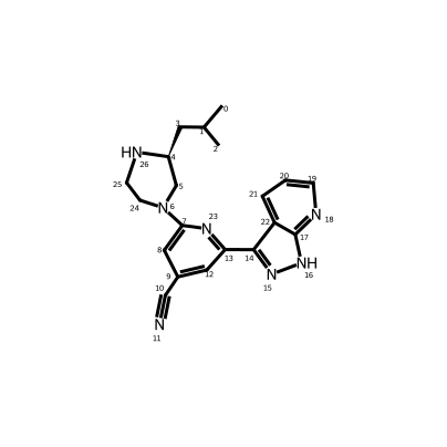 CC(C)C[C@H]1CN(c2cc(C#N)cc(-c3n[nH]c4ncccc34)n2)CCN1